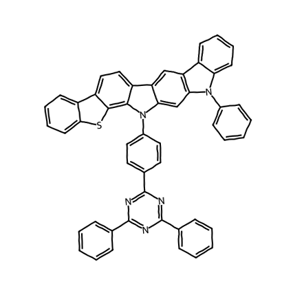 c1ccc(-c2nc(-c3ccccc3)nc(-c3ccc(-n4c5cc6c(cc5c5ccc7c8ccccc8sc7c54)c4ccccc4n6-c4ccccc4)cc3)n2)cc1